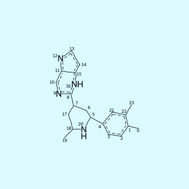 Cc1ccc(C2CC(c3ncc4nccc-4[nH]3)CC(C)N2)cc1C